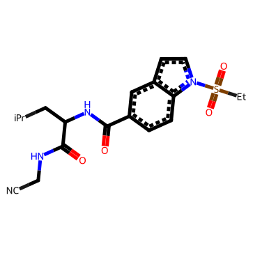 CCS(=O)(=O)n1ccc2cc(C(=O)NC(CC(C)C)C(=O)NCC#N)ccc21